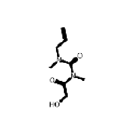 C=CCN(C)C(=O)N(C)C(=O)CO